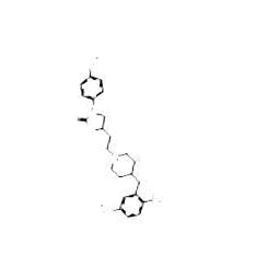 COc1ccc(N2CC(CCN3CCC(Cc4cc(OC)ccc4Br)CC3)SC2=O)cc1